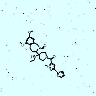 CCNC1(C2=C[C@H](C)c3c(cc(OC)cc3OC)CN2C=O)CCN(C(=O)c2cc(-c3cccs3)nn2C)CC1